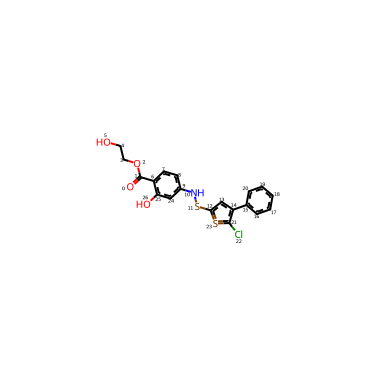 O=C(OCCO)c1ccc(NSc2cc(-c3ccccc3)c(Cl)s2)cc1O